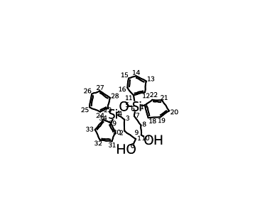 OCCC[Si](O[Si](CCCO)(c1ccccc1)c1ccccc1)(c1ccccc1)c1ccccc1